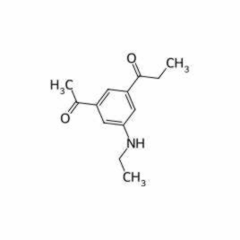 CCNc1cc(C(C)=O)cc(C(=O)CC)c1